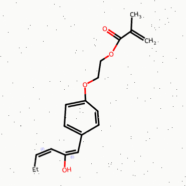 C=C(C)C(=O)OCCOc1ccc(/C=C(O)\C=C/CC)cc1